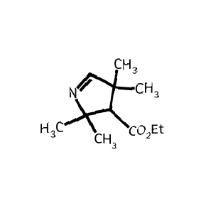 CCOC(=O)C1C(C)(C)C=NC1(C)C